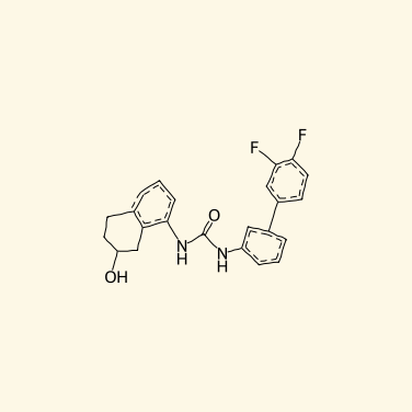 O=C(Nc1cccc(-c2ccc(F)c(F)c2)c1)Nc1cccc2c1CC(O)CC2